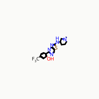 CN1CCC[C@@H](Nc2nc3nc(-c4ccc(C(F)(F)F)cc4O)ncc3s2)C1